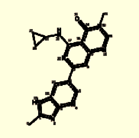 Cc1nc2ncc(-c3cc4ncn(C)c(=O)c4c(NC4CC4)n3)cc2[nH]1